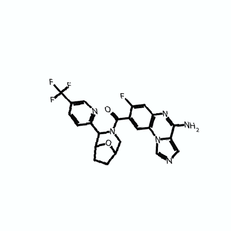 Nc1nc2cc(F)c(C(=O)N3CC4CCC(O4)C3c3ccc(C(F)(F)F)cn3)cc2n2cncc12